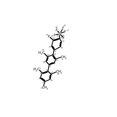 Cc1cc(C)c(-c2cc(C)c(-c3ccc(S(F)(F)(F)(F)F)c(F)c3)c(C)c2)c(C)c1